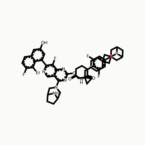 CCc1c(F)ccc2cc(O)cc(-c3ncc4c(N5CC6CCC(C5)N6)nc(OCC5(CN6CCC7(CC6)CC(N6C8CC6CN(c6cc(F)c(C9CCC(=O)NC9=O)c(F)c6)C8)C7)CC5)nc4c3F)c12